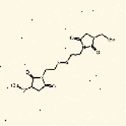 CC(C)(C)CC1CC(=O)N(CCSSCCN2C(=O)CC(SC(C)(C)C)C2=O)C1=O